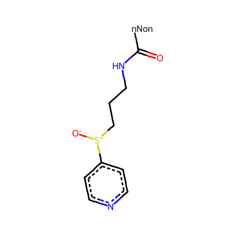 CCCCCCCCCC(=O)NCCC[S+]([O-])c1ccncc1